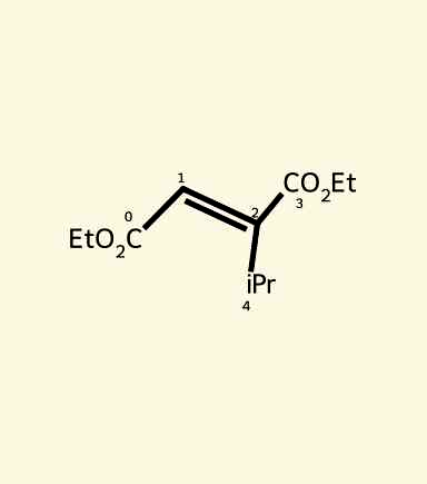 CCOC(=O)C=C(C(=O)OCC)C(C)C